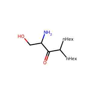 CCCCCCC(CCCCCC)C(=O)C(N)CO